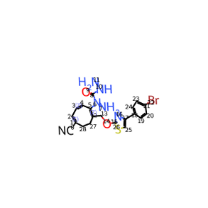 N#C/C1=C/C=C\C(N(N)C(=O)NN)=C(\COc2nc(-c3ccc(Br)cc3)cs2)CC1